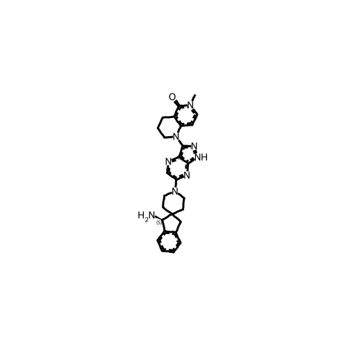 Cn1ccc2c(c1=O)CCCN2c1n[nH]c2nc(N3CCC4(CC3)Cc3ccccc3[C@H]4N)cnc12